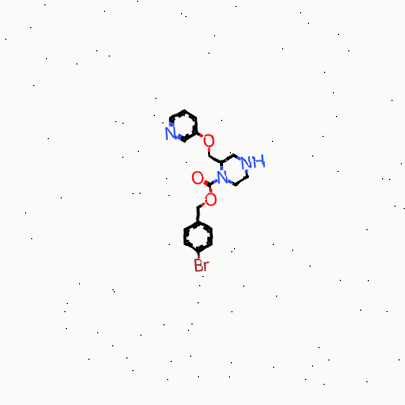 O=C(OCc1ccc(Br)cc1)N1CCNCC1COc1cccnc1